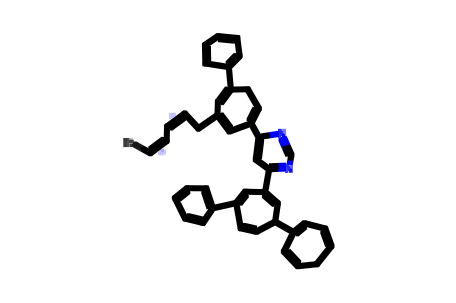 CC/C=C\C=C/CC1=CC(c2cc(C3=CC(C4=CC=CCC=C4)C=CC(c4ccccc4)=C3)ncn2)=CCC(c2ccccc2)=C1